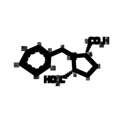 O=C(O)[C@H]1CC[C@@H](C(=O)O)N1Cc1ccccc1